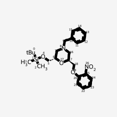 CC(C)(C)[Si](C)(C)OC[C@@H]1CN(Cc2ccccc2)C[C@@H](COc2ccccc2[N+](=O)[O-])O1